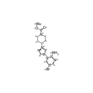 CC(C)(C)OC(=O)N1CCC(n2cc(-c3cc(Br)cnc3N)cn2)CC1